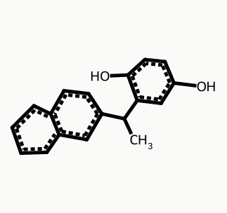 CC(c1ccc2ccccc2c1)c1cc(O)ccc1O